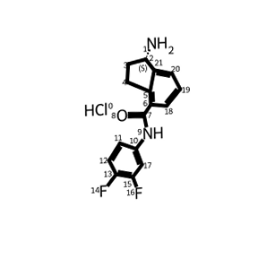 Cl.N[C@H]1CCc2c(C(=O)Nc3ccc(F)c(F)c3)cccc21